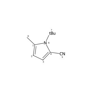 Cc1ccc(C#N)n1C(C)(C)C